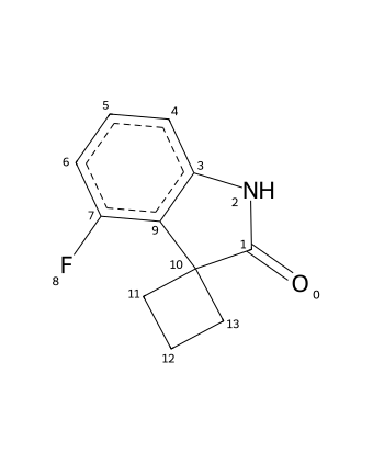 O=C1Nc2cccc(F)c2C12CCC2